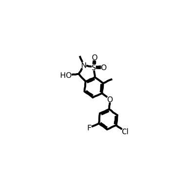 Cc1c(Oc2cc(F)cc(Cl)c2)ccc2c1S(=O)(=O)N(C)C2O